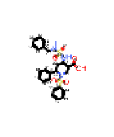 O=C(O)C1CN(S(=O)(=O)c2ccccc2)C(c2ccccc2)CC1NS(=O)(=O)NCc1ccccc1